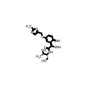 CN/C(C(=O)N[C@H](CO)[C@@H](C)O)=C1/C=C(OCc2cnc(C)o2)C=CC1=N